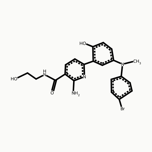 CN(c1ccc(Br)cc1)c1ccc(O)c(-c2ccc(C(=O)NCCO)c(N)n2)c1